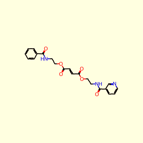 O=C(/C=C/C(=O)OCCNC(=O)c1cccnc1)OCCNC(=O)c1ccccc1